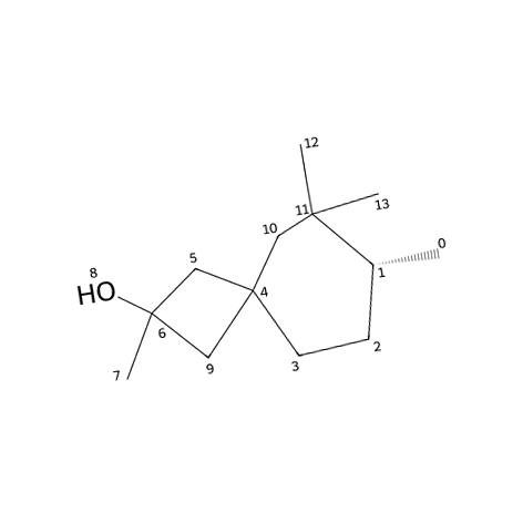 C[C@@H]1CCC2(CC(C)(O)C2)CC1(C)C